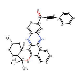 C[C@H]1CC[C@H]2[C@H](C1)c1c(c3ccccc3c3nc4cc(C(=O)C#Cc5ccccc5)ccc4nc13)OC2(C)C